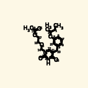 CCC(C)Oc1cccc(Cc2cn(COCCOC(C)=O)c(=O)[nH]c2=O)c1